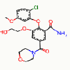 COc1ccc(Cl)c(Oc2c(OCCO)cc(C(=O)N3CCOCC3)cc2C(N)=O)c1